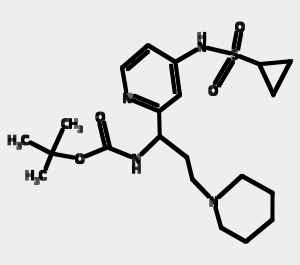 CC(C)(C)OC(=O)NC(CCN1CCCCC1)c1cc(NS(=O)(=O)C2CC2)ccn1